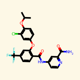 CC(C)Oc1ccc(Oc2cc(C(F)(F)F)ccc2C(=O)Nc2ccnc(C(N)=O)c2)cc1Cl